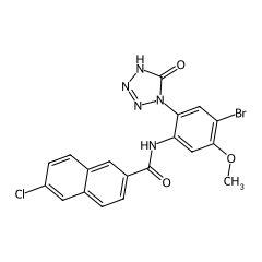 COc1cc(NC(=O)c2ccc3cc(Cl)ccc3c2)c(-n2nn[nH]c2=O)cc1Br